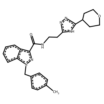 Cc1ccc(Cn2nc(C(=O)NCCc3nnc(C4CCOCC4)[nH]3)c3ccccc32)cc1